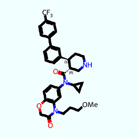 COCCCN1C(=O)COc2ccc(N(C(=O)[C@H]3CNCC[C@@H]3c3cccc(-c4ccc(C(F)(F)F)cc4)c3)C3CC3)cc21